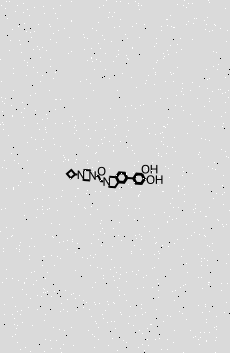 O=C(CN1CCc2cc(-c3ccc(O)c(O)c3)ccc2C1)N1CCN(C2CCC2)CC1